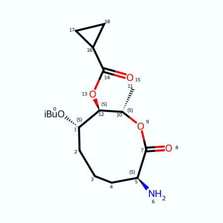 CC(C)CO[C@H]1CCC[C@H](N)C(=O)O[C@@H](C)[C@@H]1OC(=O)C1CC1